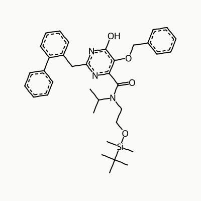 CC(C)N(CCO[Si](C)(C)C(C)(C)C)C(=O)c1nc(Cc2ccccc2-c2ccccc2)nc(O)c1OCc1ccccc1